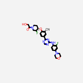 N#Cc1cc(-c2ncnc(Nc3ccc(N4CCOCC4)cc3F)n2)ccc1O[C@H]1CCN(C(=O)CO)CC1F